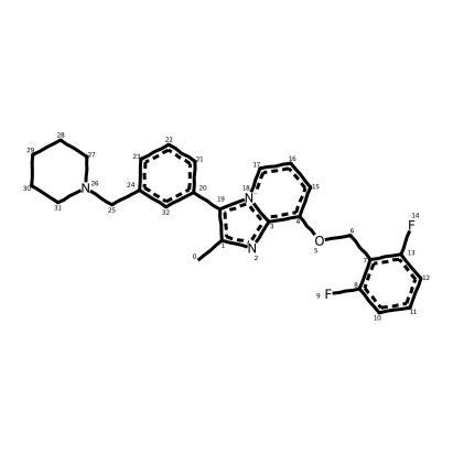 Cc1nc2c(OCc3c(F)cccc3F)cccn2c1-c1cccc(CN2CCCCC2)c1